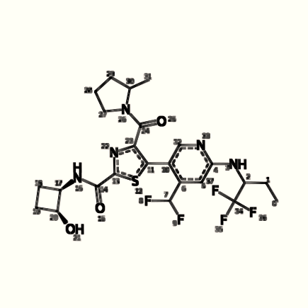 CCC(Nc1cc(C(F)F)c(-c2sc(C(=O)N[C@@H]3CC[C@@H]3O)nc2C(=O)N2CCCC2C)cn1)C(F)(F)F